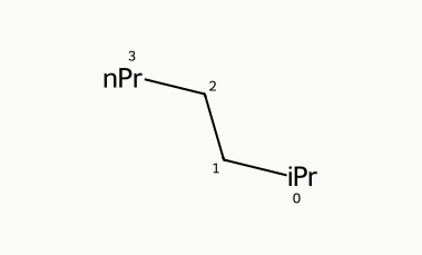 [CH2]C(C)CCC[CH]C